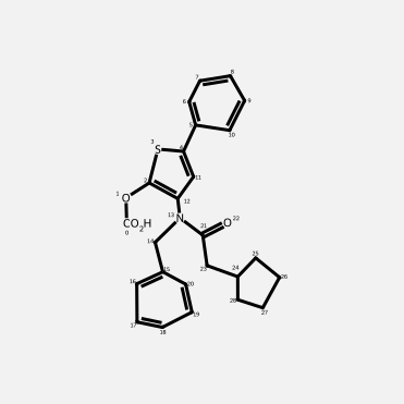 O=C(O)Oc1sc(-c2ccccc2)cc1N(Cc1ccccc1)C(=O)CC1CCCC1